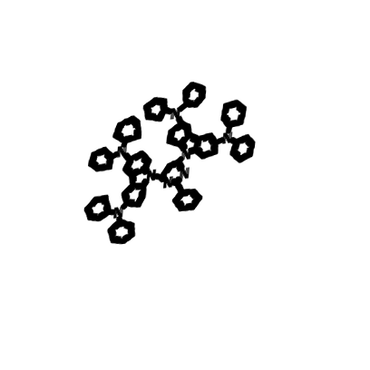 c1ccc(-c2nc(-n3c4ccc(N(c5ccccc5)c5ccccc5)cc4c4cc(N(c5ccccc5)c5ccccc5)ccc43)cc(-n3c4ccc(N(c5ccccc5)c5ccccc5)cc4c4cc(N(c5ccccc5)c5ccccc5)ccc43)n2)cc1